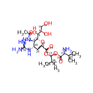 CC(=O)N[C@H]1[C@H]([C@@H](O)[C@H](O)CO)OC(C(=O)OC(OC(=O)[C@@H](N)C(C)C)C(C)C)=C[C@@H]1NC(=N)N